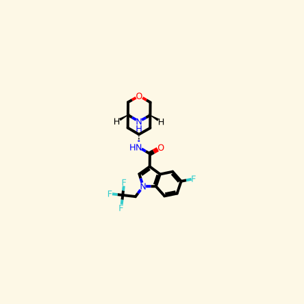 O=C(N[C@H]1C[C@H]2COC[C@@H](C1)N2)c1cn(CC(F)(F)F)c2ccc(F)cc12